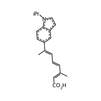 CC(C=CC=C(C)c1ccc2c(ccn2C(C)C)c1)=CC(=O)O